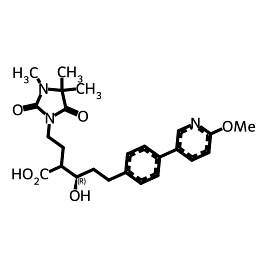 COc1ccc(-c2ccc(CC[C@@H](O)C(CCN3C(=O)N(C)C(C)(C)C3=O)C(=O)O)cc2)cn1